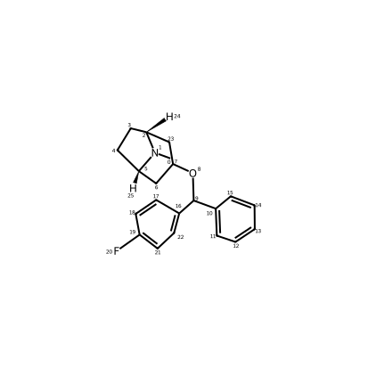 CN1[C@@H]2CC[C@H]1CC(OC(c1ccccc1)c1ccc(F)cc1)C2